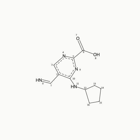 N=Cc1cnc(C(=O)O)nc1NC1CCCC1